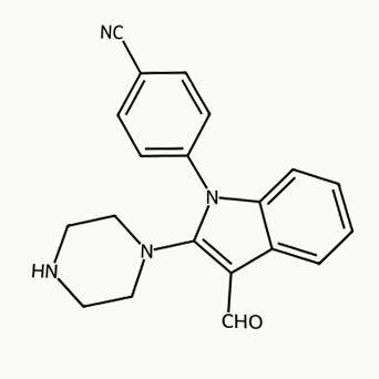 N#Cc1ccc(-n2c(N3CCNCC3)c(C=O)c3ccccc32)cc1